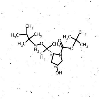 CC(C)C(C)(C)[SiH2]OC(C)(C)[C@H]1C[C@@H](O)CN1C(=O)OC(C)(C)C